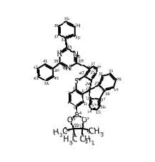 CC1(C)OB(c2ccc3c(c2)C2(c4ccccc4-c4ccccc42)c2cccc(-c4nc(-c5ccccc5)nc(-c5ccccc5)n4)c2S3)OC1(C)C